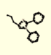 CCCc1cn(-c2ccccc2)c(-c2ccccc2)n1